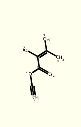 C#COC(=O)/C(C(C)=O)=C(\C)O